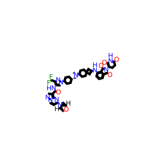 CN(C[C@H]1CC[C@H](n2cc(NC(=O)c3cnn4ccc(N5C[C@H]6C[C@@H]5CO6)nc34)c(C(F)F)n2)CC1)C1CCC2(CC1)CC(Nc1cccc3c1C(=O)N(C1CCC(=O)NC1=O)C3=O)C2